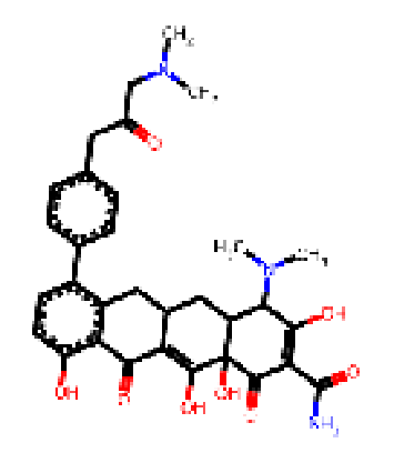 CN(C)CC(=O)Cc1ccc(-c2ccc(O)c3c2CC2CC4C(N(C)C)C(O)=C(C(N)=O)C(=O)C4(O)C(O)=C2C3=O)cc1